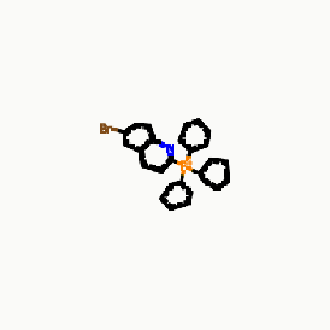 Brc1ccc2nc([P+](c3ccccc3)(c3ccccc3)c3ccccc3)ccc2c1